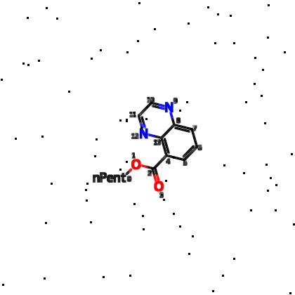 CCCCCOC(=O)c1cccc2nccnc12